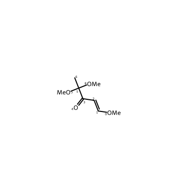 COC=CC(=O)C(C)(OC)OC